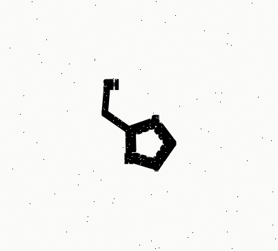 SCc1n[c]cs1